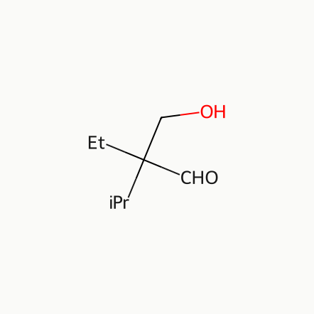 CCC(C=O)(CO)C(C)C